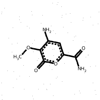 COc1c(N)cc(C(N)=O)oc1=O